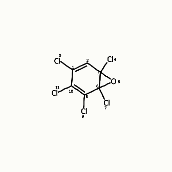 ClC1=CC2(Cl)OC2(Cl)C(Cl)=C1Cl